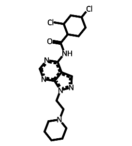 O=C(Nc1ncnc2c1cnn2CCN1CCCCC1)C1CCC(Cl)CC1Cl